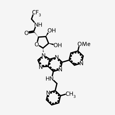 COc1cncc(-c2nc(NCc3ncccc3C)c3ncn([C@@H]4O[C@H](C(=O)NCC(F)(F)F)[C@@H](O)[C@H]4O)c3n2)c1